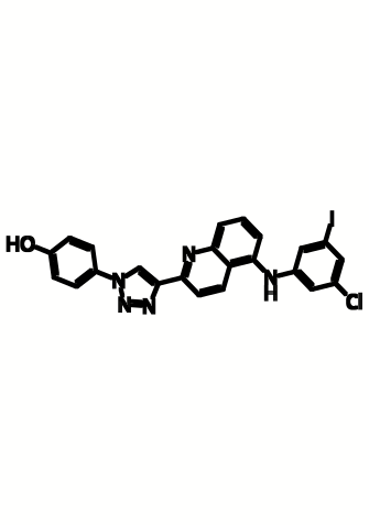 Oc1ccc(-n2cc(-c3ccc4c(Nc5cc(Cl)cc(I)c5)cccc4n3)nn2)cc1